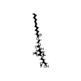 CCCCCCCCCCCC(=O)OCCOC(=O)Nc1nc(F)nc2c1ncn2CCC(CO)OC